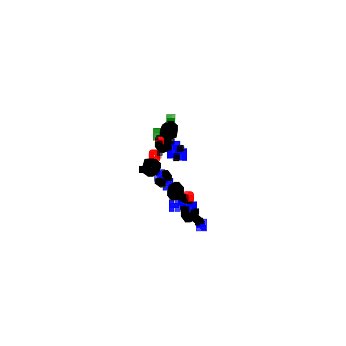 Cc1cc(OC[C@@H]2CO[C@@](Cn3cncn3)(c3ccc(F)cc3F)C2)cc(N2CCN(c3ccc(C(=O)Nc4ccc(C#N)cn4)cc3)CC2)c1